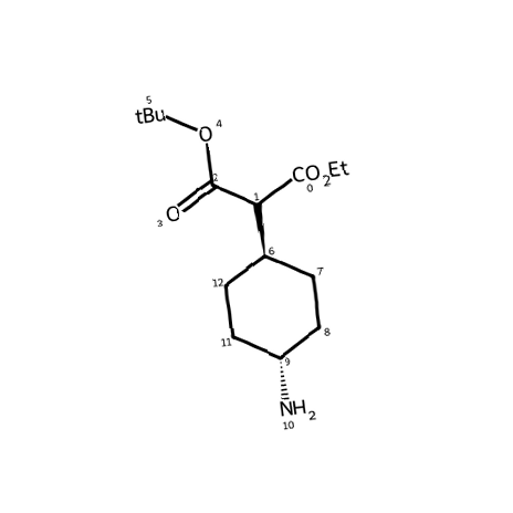 CCOC(=O)C(C(=O)OC(C)(C)C)[C@H]1CC[C@H](N)CC1